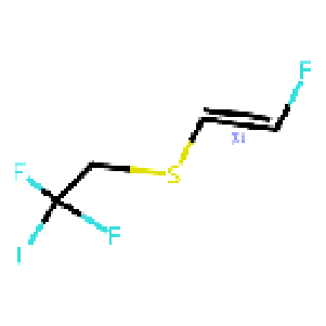 F/C=C/SCC(F)(F)F